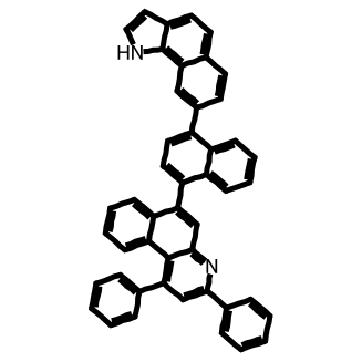 c1ccc(-c2cc(-c3ccccc3)c3c(cc(-c4ccc(-c5ccc6ccc7cc[nH]c7c6c5)c5ccccc45)c4ccccc43)n2)cc1